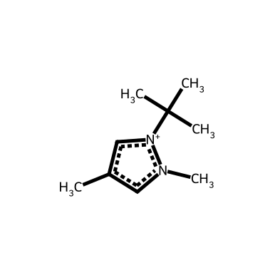 Cc1cn(C)[n+](C(C)(C)C)c1